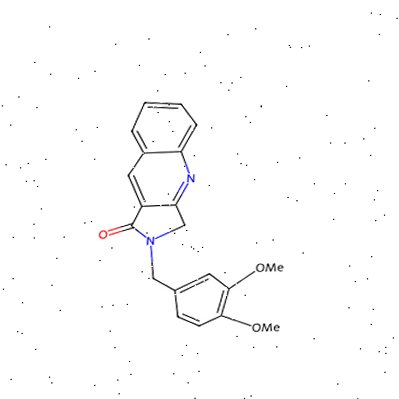 COc1ccc(CN2Cc3nc4ccccc4cc3C2=O)cc1OC